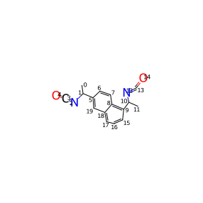 CC(N=C=O)c1ccc2c(C(C)N=C=O)cccc2c1